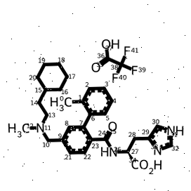 Cc1ccccc1-c1cc(CN(C)CCC2CCCCC2)ccc1C(=O)N[C@@H](Cc1c[nH]cn1)C(=O)O.O=C(O)C(F)(F)F